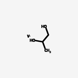 CC(O)CO.[V]